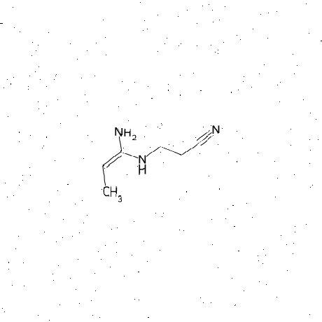 CC=C(N)NCCC#N